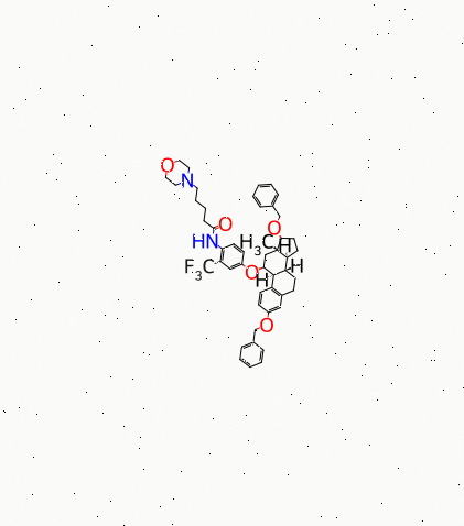 C[C@]12C[C@H](Oc3ccc(NC(=O)CCCCN4CCOCC4)c(C(F)(F)F)c3)[C@@H]3c4ccc(OCc5ccccc5)cc4CC[C@H]3[C@@H]1CC[C@@H]2OCc1ccccc1